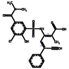 C#C/C(=C\C(NS(=O)(=O)c1cc(C(=O)N(C)C)cc(Cl)c1O)=C(/C)C(=O)O)c1ccccc1